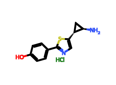 Cl.N[C@@H]1C[C@H]1c1cnc(-c2ccc(O)cc2)s1